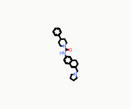 O=C(Nc1ccc2c(c1)CCC(CN1CCCC1)=C2)N1CCC(c2ccccc2)CC1